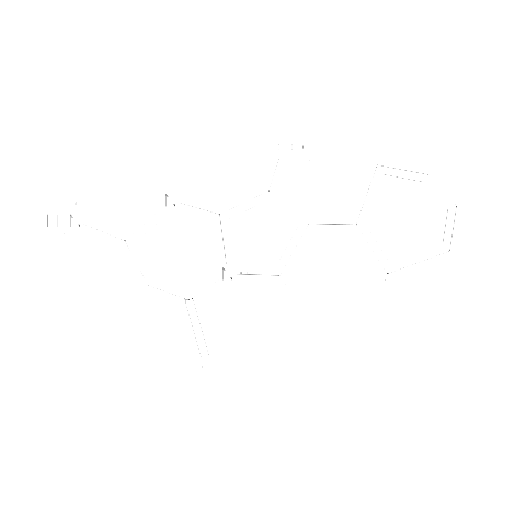 CCOC(=O)c1c(-c2ccccc2)cn2c1N=C(N)CC2=O